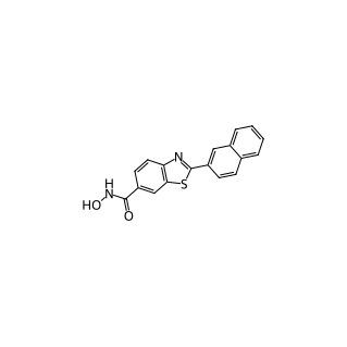 O=C(NO)c1ccc2nc(-c3ccc4ccccc4c3)sc2c1